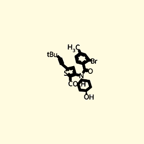 Cc1ccc(C(=O)N(c2cc(C#CC(C)(C)C)sc2C(=O)O)[C@H]2CC[C@H](O)CC2)c(Br)c1